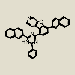 c1ccc(C2N=C(c3ccc(-c4ccc5ccccc5c4)c4oc5cnccc5c34)N=C(c3ccc4ccccc4c3)N2)cc1